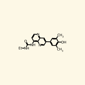 CCNC(=O)Nc1ccnc2cc(-c3cc(C)c(O)c(C)c3)cnc12